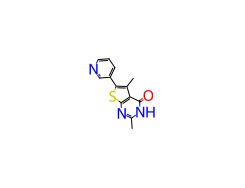 Cc1nc2sc(-c3cccnc3)c(C)c2c(=O)[nH]1